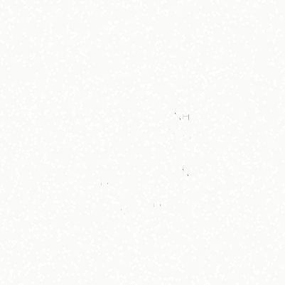 COc1cc(/C=C(\C#N)S(=O)(=O)Nc2ccc(C)cc2C)cc(OC)c1OC